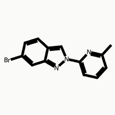 Cc1cccc(-n2cc3ccc(Br)cc3n2)n1